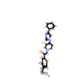 O=C(CN1CCc2c(sc3nc(-c4ccccc4)cn23)C1)c1ccc([N+](=O)[O-])cc1